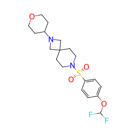 O=S(=O)(c1ccc(OC(F)F)cc1)N1CCC2(CC1)CN(C1CCOCC1)C2